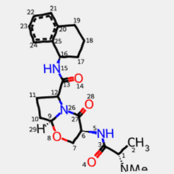 CN[C@@H](C)C(=O)N[C@H]1CO[C@H]2CCC(C(=O)N[C@@H]3CCCc4ccccc43)N2C1=O